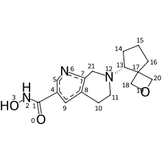 O=C(NO)c1cnc2c(c1)CCN([C@@H]1CCCC13COC3)C2